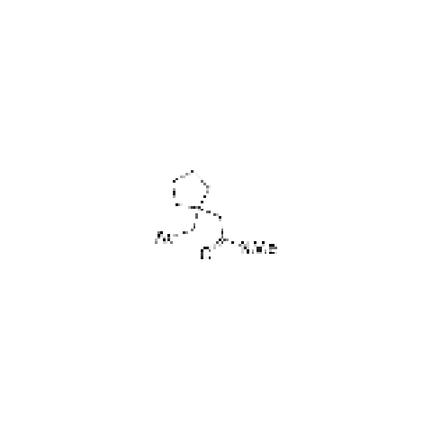 CNC(=O)CC1(CC(C)=O)CCCC1